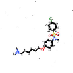 CN(C)CCCCCCOc1ccc(N(C)S(=O)(=O)c2ccc(Cl)cc2)cc1